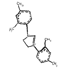 Cc1ccc(N2C=[N+](c3ccc(C)cc3C)CC2)c(C)c1